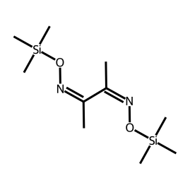 CC(=N/O[Si](C)(C)C)/C(C)=N\O[Si](C)(C)C